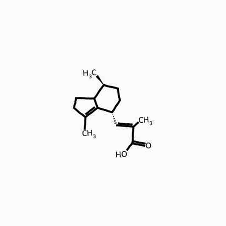 CC1=C2C(CC1)[C@@H](C)CC[C@@H]2/C=C(\C)C(=O)O